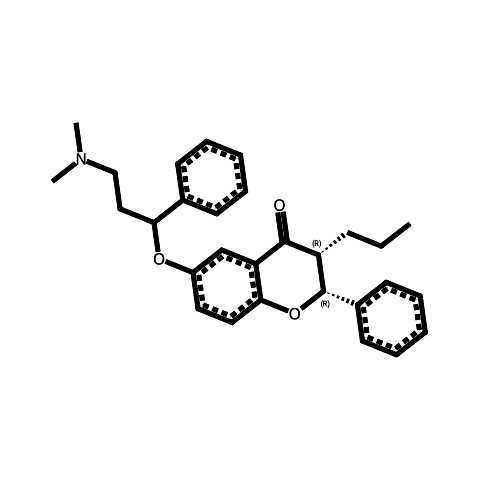 CCC[C@H]1C(=O)c2cc(OC(CCN(C)C)c3ccccc3)ccc2O[C@H]1c1ccccc1